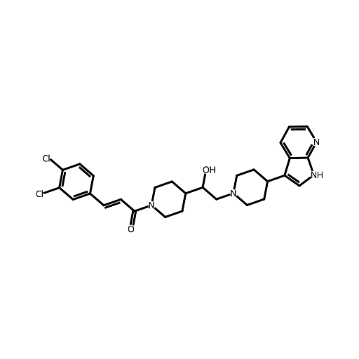 O=C(/C=C/c1ccc(Cl)c(Cl)c1)N1CCC(C(O)CN2CCC(c3c[nH]c4ncccc34)CC2)CC1